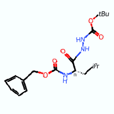 CC(C)C[C@H](NC(=O)OCc1ccccc1)C(=O)NNC(=O)OC(C)(C)C